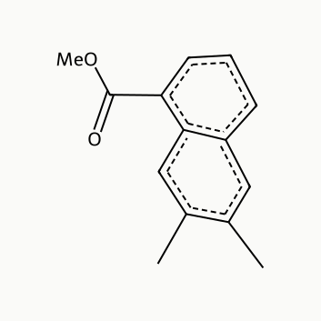 COC(=O)c1cccc2cc(C)c(C)cc12